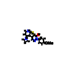 COc1ccc(-n2ncc3c(sc4nccc(N5CCC5)c43)c2=O)cc1